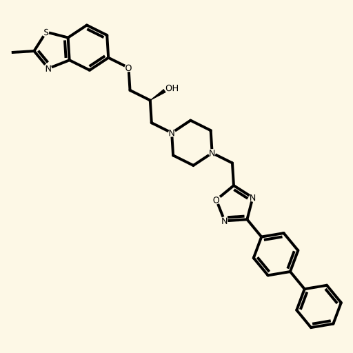 Cc1nc2cc(OC[C@@H](O)CN3CCN(Cc4nc(-c5ccc(-c6ccccc6)cc5)no4)CC3)ccc2s1